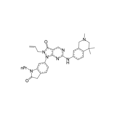 C=CCn1c(=O)c2cnc(Nc3ccc4c(c3)CN(C)CC4(C)C)nc2n1-c1ccc2c(c1)N(CCC)C(=O)C2